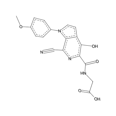 COc1ccc(-n2ccc3c(O)c(C(=O)NCC(=O)O)nc(C#N)c32)cc1